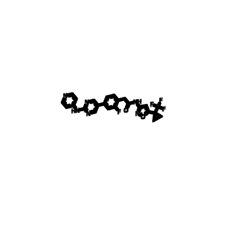 O=C(Cc1ccc(-c2cnc(Nc3ccncc3)nc2)cc1F)Nc1cc(C2(C(F)(F)F)CC2)on1